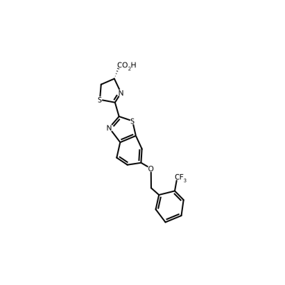 O=C(O)[C@H]1CSC(c2nc3ccc(OCc4ccccc4C(F)(F)F)cc3s2)=N1